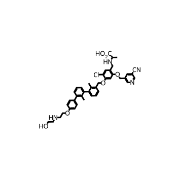 Cc1c(COc2cc(OCc3cncc(C#N)c3)c(CNC(C)C(=O)O)cc2Cl)cccc1-c1cccc(-c2ccc(OCCNCCO)cc2)c1C